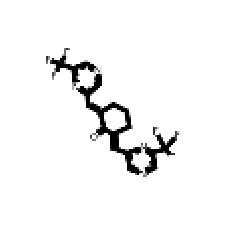 O=C1/C(=C/c2cncc(C(F)(F)F)n2)CCC/C1=C\c1cncc(C(F)(F)F)n1